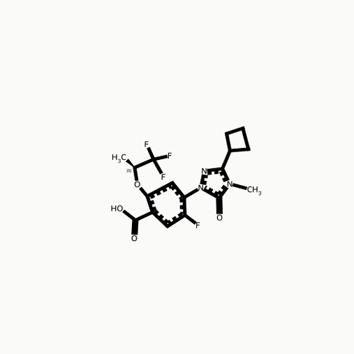 C[C@H](Oc1cc(-n2nc(C3CCC3)n(C)c2=O)c(F)cc1C(=O)O)C(F)(F)F